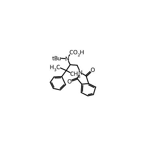 CC(C)(c1ccccc1)C(CN1C(=O)c2ccccc2C1=O)N(C(=O)O)C(C)(C)C